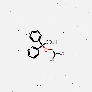 CCC(CC)COC(C(=O)O)(c1ccccc1)c1ccccc1